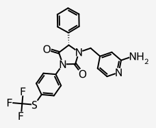 Nc1cc(CN2C(=O)N(c3ccc(SC(F)(F)F)cc3)C(=O)[C@@H]2c2ccccc2)ccn1